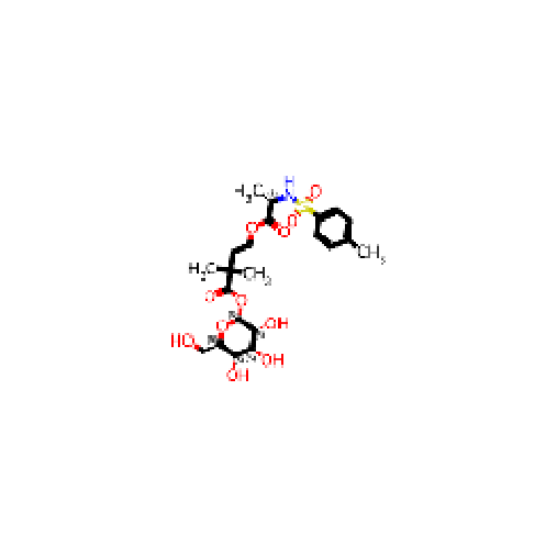 Cc1ccc(S(=O)(=O)N[C@@H](C)C(=O)OCCC(C)(C)C(=O)O[C@@H]2O[C@H](CO)[C@@H](O)[C@H](O)[C@H]2O)cc1